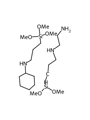 CO[SiH](CCCCNCCN)OC.CO[Si](CCCNC1CCCCC1)(OC)OC